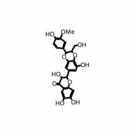 COc1cc(C2Oc3cc(C4Oc5cc(O)c(O)cc5C(=O)C4O)cc(O)c3OC2CO)ccc1O